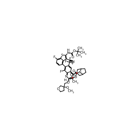 COC1(COc2nc(N3CC4CCC(C3)N4C(=O)OC(C)(C)C)c3cc(C(F)(F)F)c(-c4ccc(F)c5sc(NC(=O)OC(C)(C)C)c(C#N)c45)c(F)c3n2)CCOC1